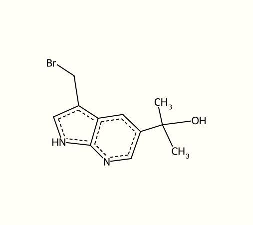 CC(C)(O)c1cnc2[nH]cc(CBr)c2c1